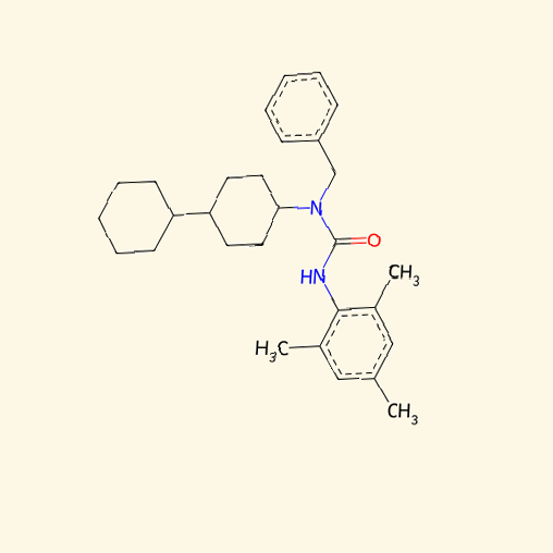 Cc1cc(C)c(NC(=O)N(Cc2ccccc2)C2CCC(C3CCCCC3)CC2)c(C)c1